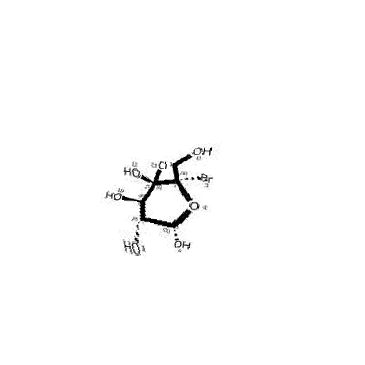 OC[C@@]1(Br)O[C@H](O)[C@H](O)[C@@H](O)[C@]1(O)Cl